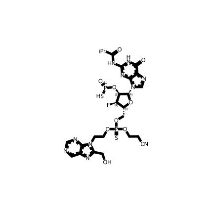 CC(C)C(=O)Nc1nc2c(ncn2[C@@H]2O[C@H](COP(=S)(OCCC#N)OCCn3c(CO)nc4cncnc43)[C@@H](F)[C@H]2O[PH](=O)S)c(=O)[nH]1